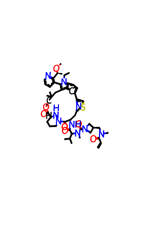 C=CC(=O)N(C)CC1CN(C(=O)N(C)C(C(=O)N[C@H]2Cc3nc(cs3)-c3ccc4c(c3)c(c(-c3cccnc3[C@H](C)OC)n4CC)CC(C)(C)COC(=O)[C@@H]3CCCN(N3)C2=O)C(C)C)C1